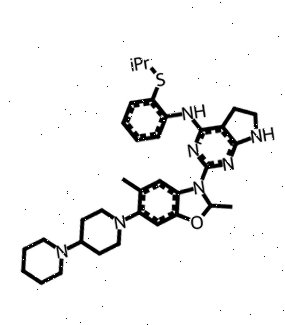 Cc1cc2c(cc1N1CCC(N3CCCCC3)CC1)OC(C)N2c1nc2c(c(Nc3ccccc3SC(C)C)n1)CCN2